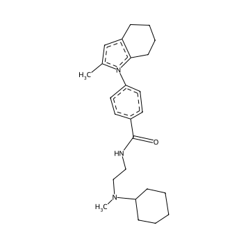 Cc1cc2c(n1-c1ccc(C(=O)NCCN(C)C3CCCCC3)cc1)CCCC2